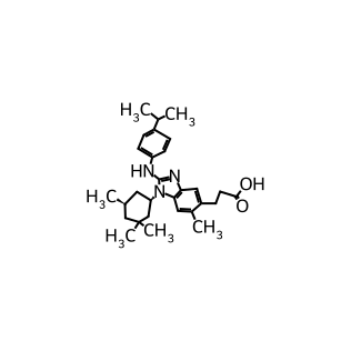 Cc1cc2c(cc1CCC(=O)O)nc(Nc1ccc(C(C)C)cc1)n2[C@@H]1C[C@H](C)CC(C)(C)C1